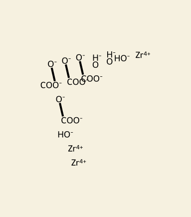 O=C([O-])[O-].O=C([O-])[O-].O=C([O-])[O-].O=C([O-])[O-].[OH-].[OH-].[OH-].[OH-].[Zr+4].[Zr+4].[Zr+4]